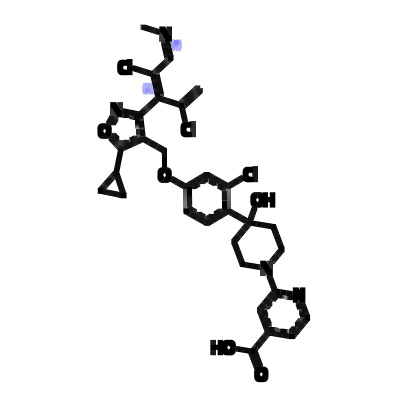 C=C(Cl)/C(=C(Cl)\C=N/C)c1noc(C2CC2)c1COc1ccc(C2(O)CCN(c3cc(C(=O)O)ccn3)CC2)c(Cl)c1